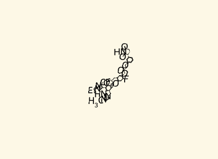 CCn1cc(-c2cc(Cn3ccn(C)c3=N)cc3c2OCC(Cc2ccc(F)c(OC(=O)COc4cccc(C5CCC(=O)NC5=O)c4)c2)C3=O)c(C(F)(F)F)n1